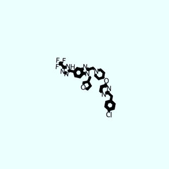 FC(F)(F)c1nnc(-c2ccc3c(c2)nc(CN2CCC(Oc4ccnc(Cc5ccc(Cl)cc5)n4)CC2)n3CC2CCOC2)[nH]1